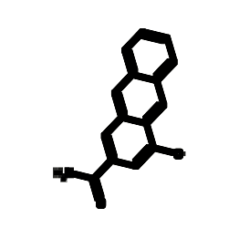 NC(=O)c1cc([O])c2cc3ccccc3cc2c1